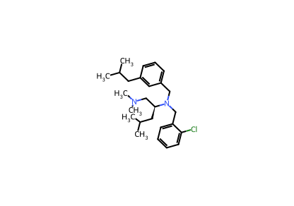 CC(C)Cc1cccc(CN(Cc2ccccc2Cl)[C@@H](CC(C)C)CN(C)C)c1